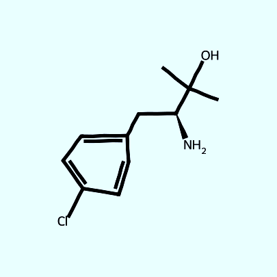 CC(C)(O)[C@@H](N)Cc1ccc(Cl)cc1